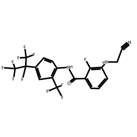 N#CCNc1cccc(C(=O)Nc2ccc(C(F)(C(F)(F)F)C(F)(F)F)cc2C(F)(F)F)c1F